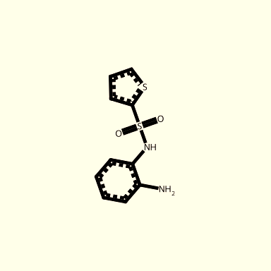 Nc1ccccc1NS(=O)(=O)c1cccs1